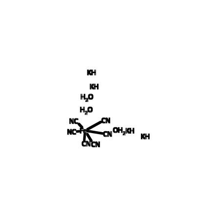 N#[C][Fe]([C]#N)([C]#N)([C]#N)([C]#N)[C]#N.O.O.O.[KH].[KH].[KH].[KH]